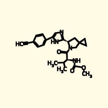 C#Cc1ccc(-c2cnc([C@@H]3CC4(CC4)CN3C(=O)[C@@H](NC(=O)OC)C(C)C)[nH]2)cc1